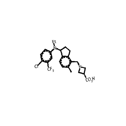 CCN(c1ccc(Cl)c(C(F)(F)F)c1)C1CCc2c1ccc(C)c2CN1CC(C(=O)O)C1